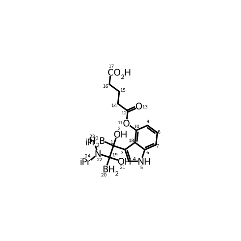 BC(O)(c1c[nH]c2cccc(OC(=O)CCCC(=O)O)c12)C(B)(O)N(C(C)C)C(C)C